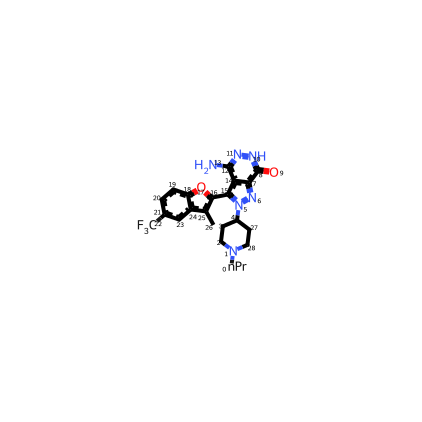 CCCN1CCC(n2nc3c(=O)[nH]nc(N)c3c2-c2oc3ccc(C(F)(F)F)cc3c2C)CC1